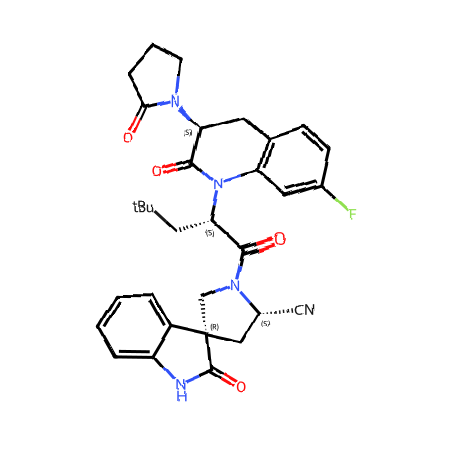 CC(C)(C)C[C@@H](C(=O)N1C[C@]2(C[C@H]1C#N)C(=O)Nc1ccccc12)N1C(=O)[C@@H](N2CCCC2=O)Cc2ccc(F)cc21